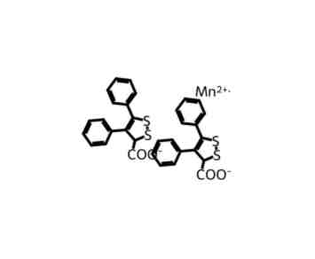 O=C([O-])C1SSC(c2ccccc2)=C1c1ccccc1.O=C([O-])C1SSC(c2ccccc2)=C1c1ccccc1.[Mn+2]